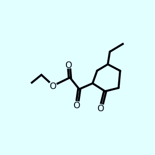 CCOC(=O)C(=O)C1CC(CC)CCC1=O